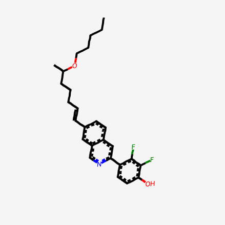 CCCCCOC(C)CCC/C=C/c1ccc2cc(-c3ccc(O)c(F)c3F)ncc2c1